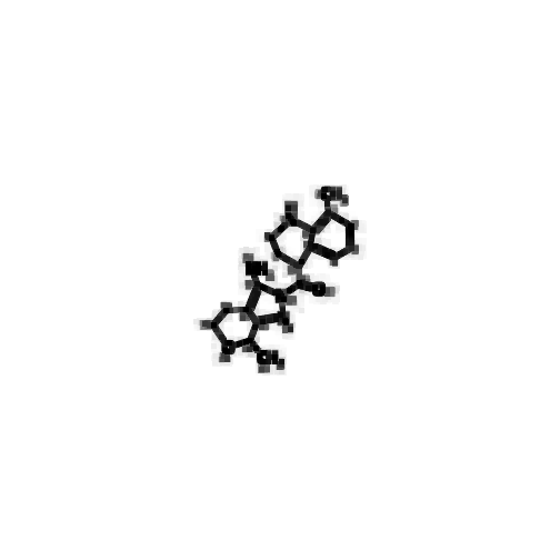 Cc1cccc2c1NCCC2C(=O)n1nc2c(c1N)CCOC2C